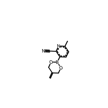 C=C1COB(c2ccc(C)nc2C#N)OC1